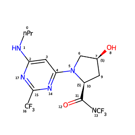 CCCNc1cc(N2C[C@@H](O)C[C@H]2C(=O)NC(F)(F)F)nc(C(F)(F)F)n1